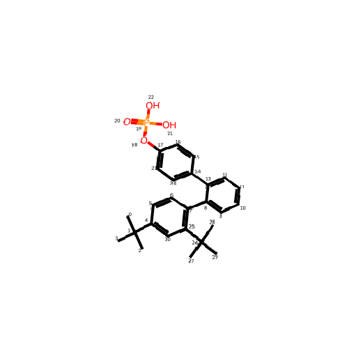 CC(C)(C)c1ccc(-c2ccccc2-c2ccc(OP(=O)(O)O)cc2)c(C(C)(C)C)c1